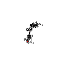 COC(=O)N[C@H](C(=O)N1CCC[C@H]1c1ncc(C#CC#Cc2c(F)cc(-c3cnc([C@@H]4CCCN4C(=O)[C@@H](NC(=O)OC)C(C)C)[nH]3)cc2-c2ccccc2)[nH]1)C(C)C